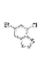 [CH2]Cc1cc(Cl)c2sccc2c1